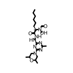 CCCCCC[C@H](C(=O)NNc1nc(C)nc(N2CC(C)OC(C)C2)n1)N(O)C=O